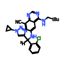 [2H]C(Nc1cc(C#N)c2ncnc(NCC(C)(C)C)c2c1)(c1cn(C2CC2)nn1)c1ccccc1Cl